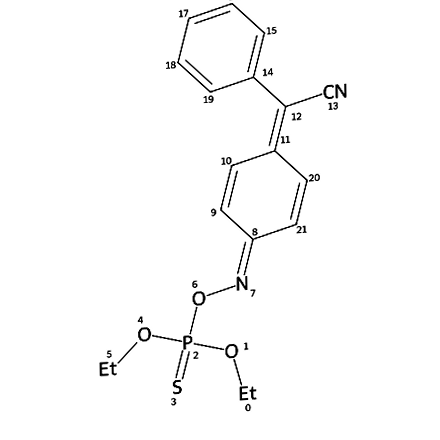 CCOP(=S)(OCC)ON=C1C=CC(=C(C#N)c2ccccc2)C=C1